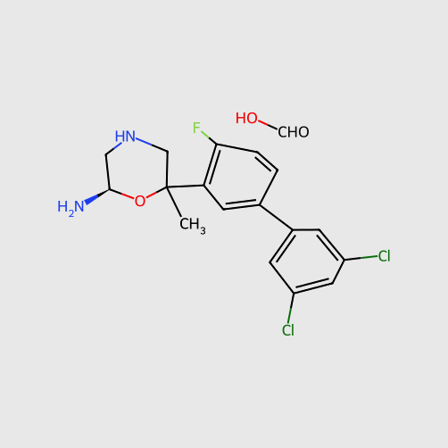 CC1(c2cc(-c3cc(Cl)cc(Cl)c3)ccc2F)CNC[C@H](N)O1.O=CO